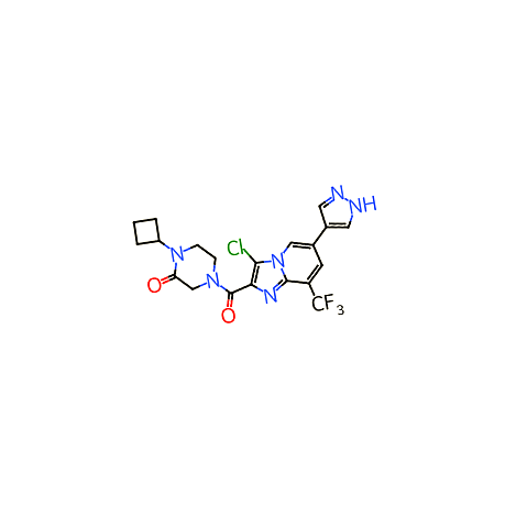 O=C(c1nc2c(C(F)(F)F)cc(-c3cn[nH]c3)cn2c1Cl)N1CCN(C2CCC2)C(=O)C1